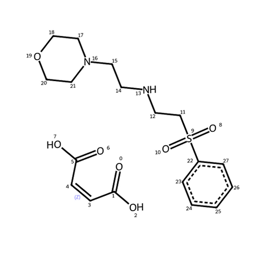 O=C(O)/C=C\C(=O)O.O=S(=O)(CCNCCN1CCOCC1)c1ccccc1